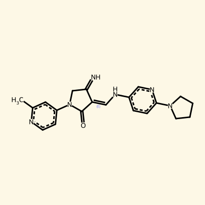 Cc1cc(N2CC(=N)/C(=C\Nc3ccc(N4CCCC4)nc3)C2=O)ccn1